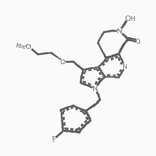 COCCOCc1cn(Cc2ccc(F)cc2)c2cnc3c(c12)CCN(O)C3=O